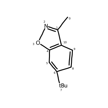 Cc1noc2cc(C(C)(C)C)ccc12